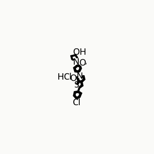 COc1cc(-n2ccc3cc(-c4ccc(Cl)cc4)sc3c2=O)ccc1N1CC[C@@H](O)C1.Cl